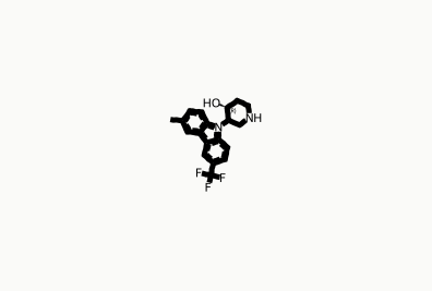 Cc1ccc2c(c1)c1cc(C(F)(F)F)ccc1n2C1CNCC[C@H]1O